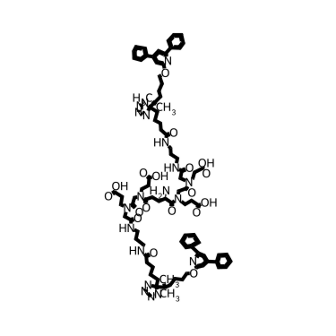 CC(C)(CCCCOc1cc(-c2ccccc2)cc(-c2ccccc2)n1)C1(CCCCC(=O)NCCCNC(=O)CN(CCC(=O)O)C(=O)CN(CCC(=O)O)C(=O)CC[C@H](N)C(=O)N(CCC(=O)O)CC(=O)N(CCC(=O)O)CC(=O)NCCCNC(=O)CCCCC2(C(C)(C)CCCCOc3cc(-c4ccccc4)cc(-c4ccccc4)n3)N=NN=N2)N=NN=N1